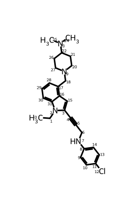 CCn1c(C#CCNc2ccc(Cl)cc2)cc2c(CN3CCC(N(C)C)CC3)cccc21